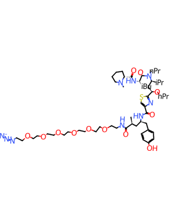 CCCO[C@H](C[C@H](C(C)C)N(CCC)C(=O)[C@@H](NC(=O)[C@H]1CCCCN1C)[C@@H](C)CC)c1nc(C(=O)N[C@@H](Cc2ccc(O)cc2)C[C@H](C)C(=O)NCCOCCOCCOCCOCCOCCOCCN=[N+]=[N-])cs1